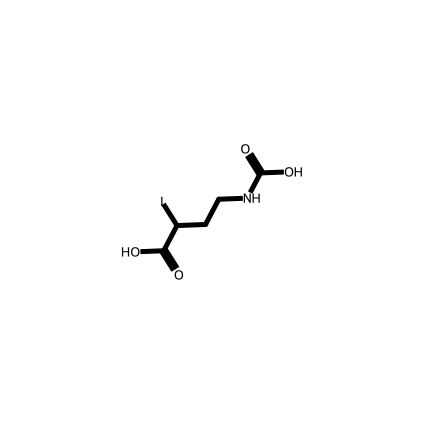 O=C(O)NCCC(I)C(=O)O